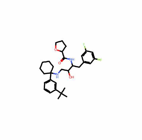 CC(C)(C)c1cccc(C2(NCC(O)C(Cc3cc(F)cc(F)c3)NC(=O)C3CCCO3)CCCCC2)c1